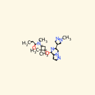 C=CC(=O)N(C)[C@@H]1C[C@@H](Oc2nc(-c3cnn(C)c3)cn3nccc23)C1(C)C